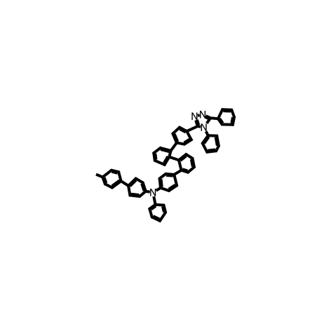 Cc1ccc(-c2ccc(N(c3ccccc3)c3ccc(-c4ccccc4-c4ccccc4-c4ccc(-c5nnc(-c6ccccc6)n5-c5ccccc5)cc4)cc3)cc2)cc1